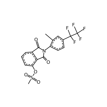 Cc1cc(C(F)(F)C(F)(F)F)ccc1N1C(=O)c2cccc(OS(C)(=O)=O)c2C1=O